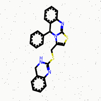 C1=C(CSC2=Nc3ccccc3CN2)N2C(=Nc3ccccc3C2c2ccccc2)S1